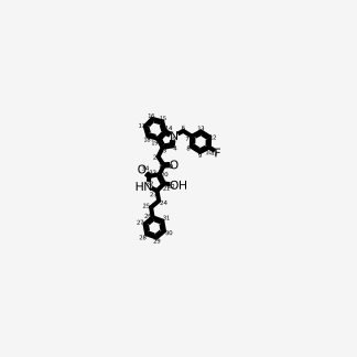 O=C(Cc1cn(Cc2ccc(F)cc2)c2ccccc12)C1=C(O)C(CCc2ccccc2)NC1=O